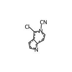 N#Cn1ccc2nccc-2c1Cl